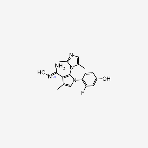 Cc1cn(-c2ccc(O)cc2F)c(-n2c(C)cnc2C)c1/C(N)=N/O